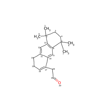 CC1(C)CCC(C)(C)c2cc3c(cc21)CCC=C3CC=O